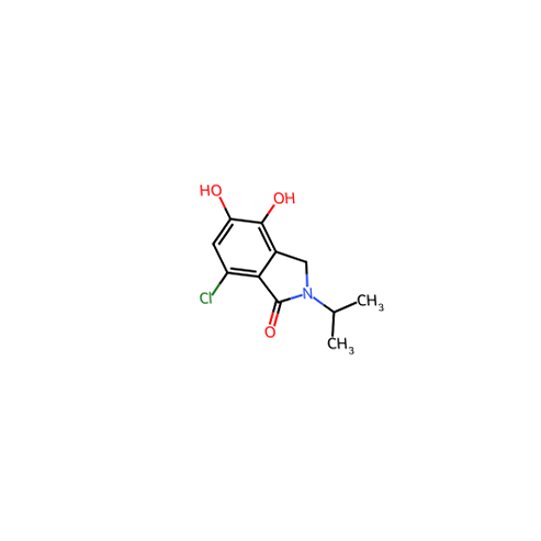 CC(C)N1Cc2c(O)c(O)cc(Cl)c2C1=O